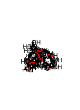 CN[C@H](CC(C)C)C(=O)N[C@H]1C(=O)N[C@@H](CC(N)=O)C(=O)N[C@H]2C(=O)N[C@H]3C(=O)N[C@H](C(=O)N[C@H](C(=O)O)c4cc(O)cc(O)c4-c4cc3ccc4O)[C@H](O)c3ccc(c(Cl)c3)Oc3cc2cc(c3O[C@@H]2OC(CO)C(O)[C@H](O)[C@H]2O[C@H]2CC(C)(NCc3ccc(-c4ccc(Cl)cc4)cc3)[C@H](O)[C@H](C)O2)Oc2ccc(cc2Cl)[C@H]1O